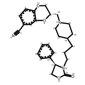 N#Cc1ccc2c(c1)O[C@@H](CN1CCC(CCCN3C(=O)OC[C@H]3c3ccccc3)CC1)CO2